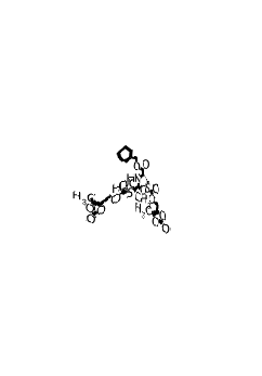 Cc1oc(=O)oc1COC(=O)SC[C@H](NC(=O)C(C)(C)SC(=O)OCc1oc(=O)oc1C)C(=O)OCC1CCCCC1